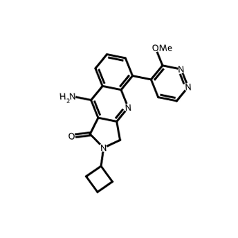 COc1nnccc1-c1cccc2c(N)c3c(nc12)CN(C1CCC1)C3=O